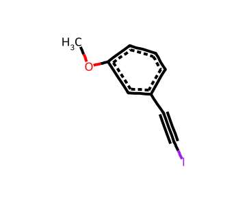 COc1cccc(C#CI)c1